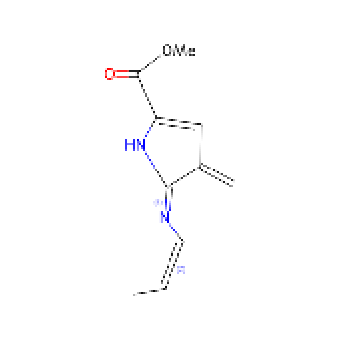 C=C1C=C(C(=O)OC)N/C1=N/C=C\C